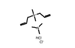 C=CC[N+](C)(C)CC=C.CN(C)C.Cl.[Cl-]